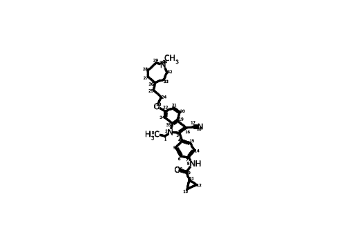 CCn1c(-c2ccc(NC(=O)C3CC3)cc2)c(C#N)c2ccc(OCCC3CCCN(C)CC3)cc21